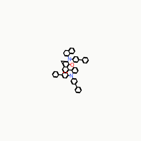 C1=C(N(c2ccc(-c3ccccc3)cc2)c2c3c(c4cccc5c4c2Oc2cccc(N(c4ccc(-c6ccccc6)cc4)c4ccc(-c6ccccc6)cc4)c2-5)C3)c2ccccc2CC1